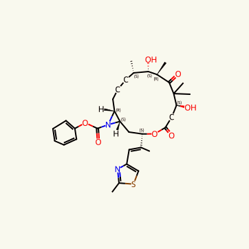 CC(=Cc1csc(C)n1)[C@@H]1C[C@H]2[C@@H](CCC[C@H](C)[C@H](O)[C@@H](C)C(=O)C(C)(C)[C@@H](O)CC(=O)O1)N2C(=O)Oc1ccccc1